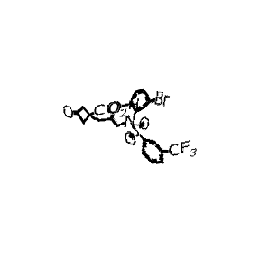 O=C1CC(CC2CN(S(=O)(=O)c3cccc(C(F)(F)F)c3)c3cc(Br)ccc3O2)(C(=O)O)C1